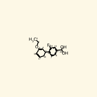 CCOC1=CC(c2ccc(C(O)O)cc2F)CC=C1